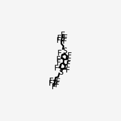 Fc1c(F)c(-c2c(F)c(F)c(SCCCC(F)(F)C(F)(F)F)c(F)c2F)c(F)c(F)c1SCCCC(F)(F)C(F)(F)F